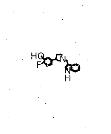 Oc1cc(C2CCN(Cc3c[nH]c4ccccc34)C2)ccc1F